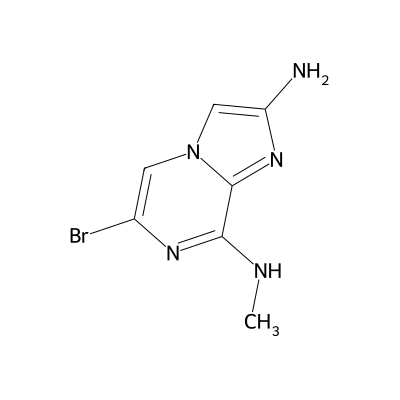 CNc1nc(Br)cn2cc(N)nc12